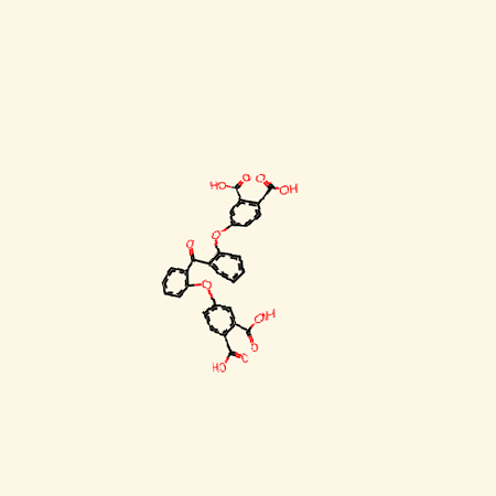 O=C(c1ccccc1Oc1ccc(C(=O)O)c(C(=O)O)c1)c1ccccc1Oc1ccc(C(=O)O)c(C(=O)O)c1